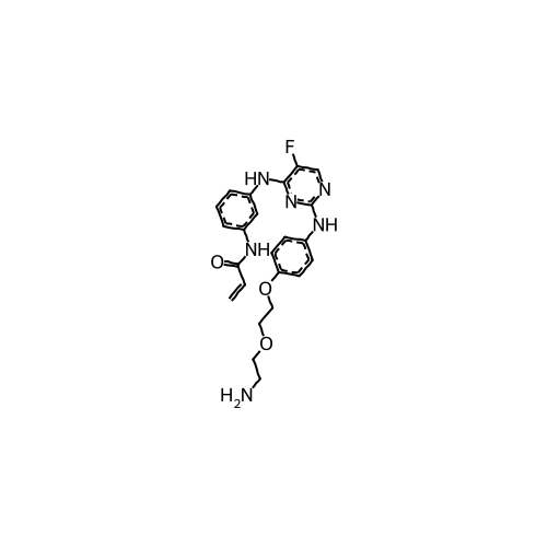 C=CC(=O)Nc1cccc(Nc2nc(Nc3ccc(OCCOCCN)cc3)ncc2F)c1